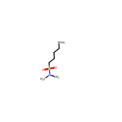 CC(=O)NCCCCS(=O)(=O)N(C)C